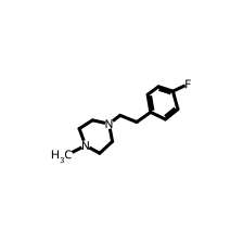 CN1CCN(CCc2ccc(F)cc2)CC1